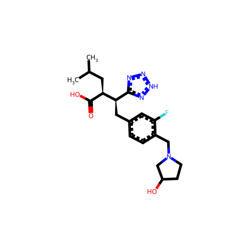 CC(C)C[C@H](C(=O)O)[C@H](Cc1ccc(CN2CCC(O)C2)c(F)c1)c1nn[nH]n1